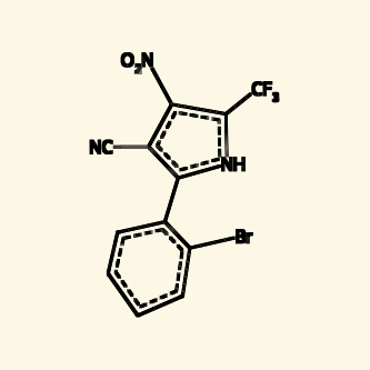 N#Cc1c(-c2ccccc2Br)[nH]c(C(F)(F)F)c1[N+](=O)[O-]